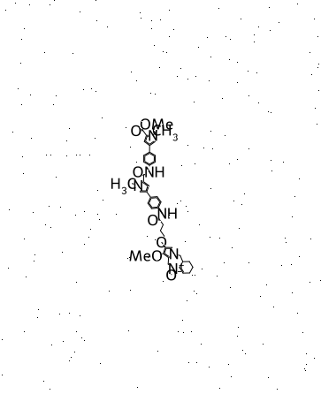 COC(=O)c1cc(-c2ccc(NC(=O)c3cc(-c4ccc(NC(=O)CCCOc5cn6c(c5OC)C=[N+]([O-])C5=CCCCC5C6)cc4)cn3C)cc2)cn1C